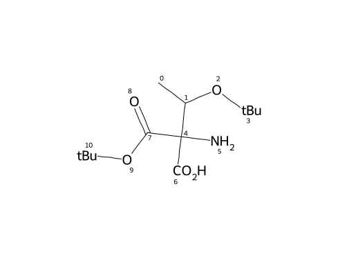 CC(OC(C)(C)C)C(N)(C(=O)O)C(=O)OC(C)(C)C